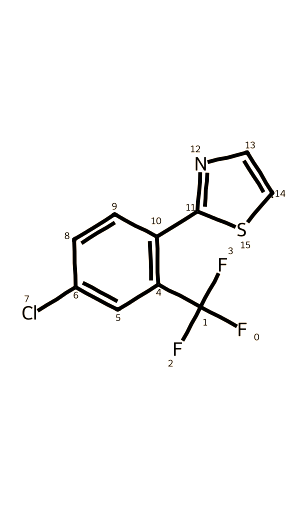 FC(F)(F)c1cc(Cl)ccc1-c1nc[c]s1